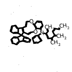 C=C/C=C\C(=C)C(=C)/C=C(\C=C)N(c1ccccc1)c1cccc2c1O/C=C/C1=C(/C=C/O2)c2ccccc2C12c1ccccc1-c1ccccc12